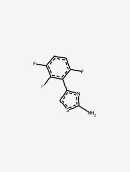 Nc1nc(-c2c(F)ccc(F)c2F)cs1